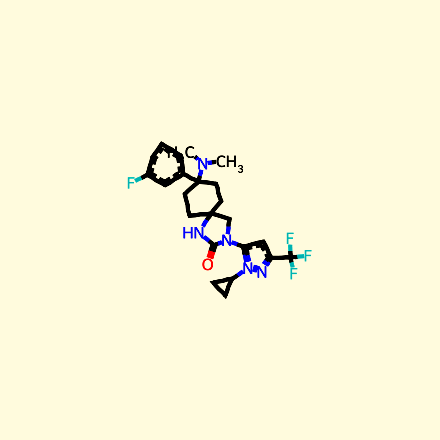 CN(C)C1(c2cccc(F)c2)CCC2(CC1)CN(c1cc(C(F)(F)F)nn1C1CC1)C(=O)N2